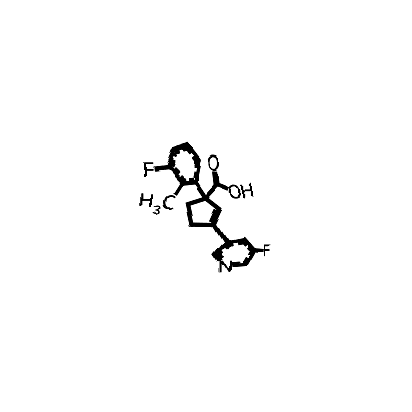 Cc1c(F)cccc1C1(C(=O)O)C=C(c2cncc(F)c2)CC1